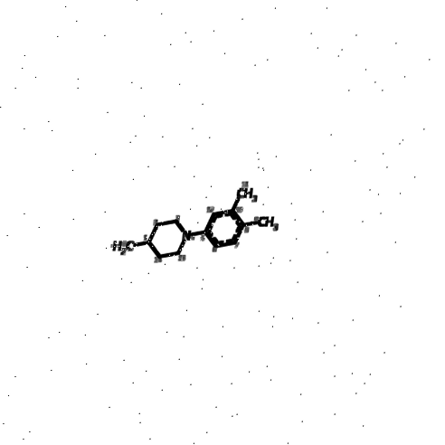 [CH2]C1CCN(c2ccc(C)c(C)c2)CC1